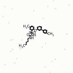 CCCCCNC(=O)NS(=O)(=O)c1cc(C)ccc1Oc1cccc(-c2ccc(C)cc2)c1